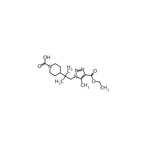 CCOC(=O)c1nnn(CC(C)(C)C2CCN(C(=O)O)CC2)c1C